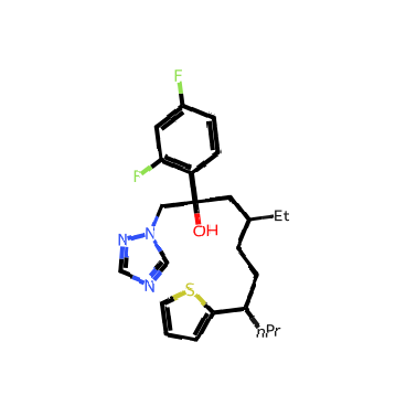 CCCC(CCC(CC)CC(O)(Cn1cncn1)c1ccc(F)cc1F)c1cccs1